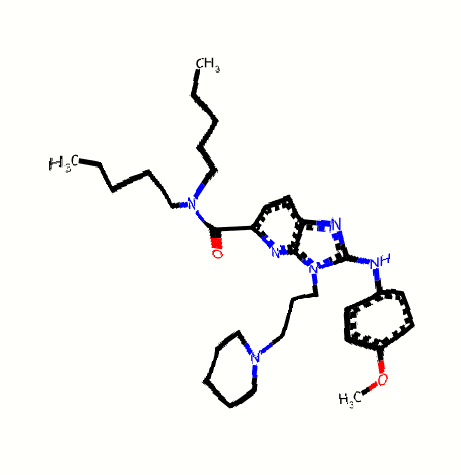 CCCCCN(CCCCC)C(=O)c1ccc2nc(Nc3ccc(OC)cc3)n(CCCN3CCCCC3)c2n1